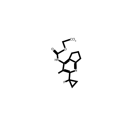 Cc1c(C2(F)CC2)nc2c(c1NC(=O)OCC(Cl)(Cl)Cl)CCC2